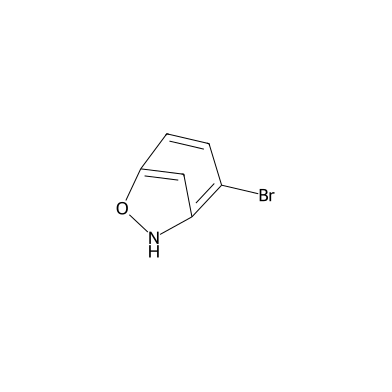 Brc1ccc2cc1NO2